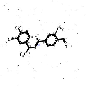 C=Cc1ccc(/C(F)=C/C(c2ccc(Cl)c(Cl)c2)C(F)(F)F)cc1C(F)(F)F